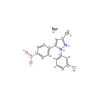 O=S([O-])c1ccc(-c2cc(C(F)(F)F)nn2-c2cccc(Cl)c2)cc1.[Na+]